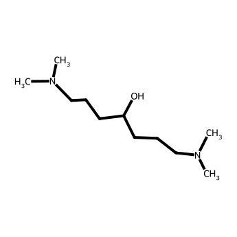 CN(C)CCCC(O)CCCN(C)C